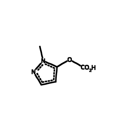 Cn1nccc1OC(=O)O